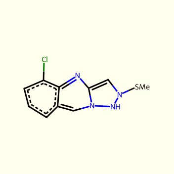 CSN1C=C2N=c3c(Cl)cccc3=CN2N1